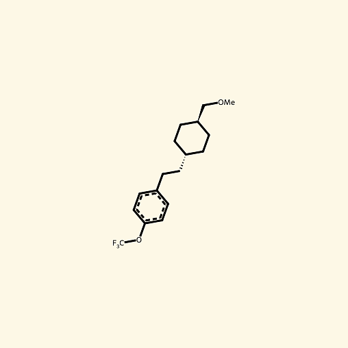 COC[C@H]1CC[C@H](CCc2ccc(OC(F)(F)F)cc2)CC1